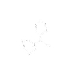 BrN(c1ccccc1)c1ccccc1